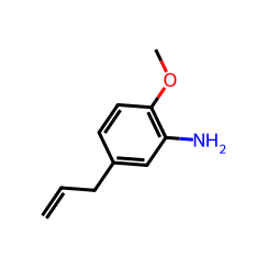 C=CCc1ccc(OC)c(N)c1